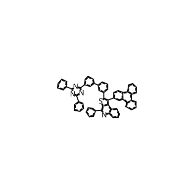 c1ccc(-c2nc(-c3ccccc3)nc(-c3cccc(-c4cccc(-c5sc6c(-c7ccccc7)nc7ccccc7c6c5-c5ccc6c7ccccc7c7ccccc7c6c5)c4)c3)n2)cc1